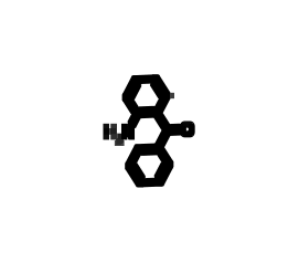 Nc1ccc[c]c1C(=O)c1ccccc1